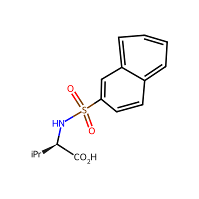 CC(C)[C@@H](NS(=O)(=O)c1ccc2ccccc2c1)C(=O)O